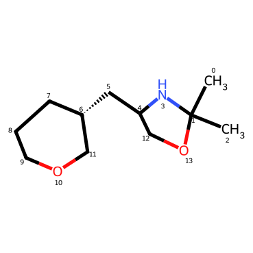 CC1(C)NC(C[C@H]2CCCOC2)CO1